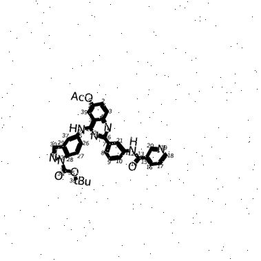 CC(=O)Oc1ccc2nc(-c3cccc(NC(=O)c4cccnc4)c3)nc(Nc3ccc4c(cnn4C(=O)OC(C)(C)C)c3)c2c1